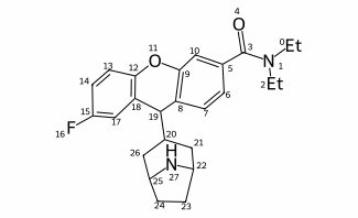 CCN(CC)C(=O)c1ccc2c(c1)Oc1ccc(F)cc1C2C1CC2CCC(C1)N2